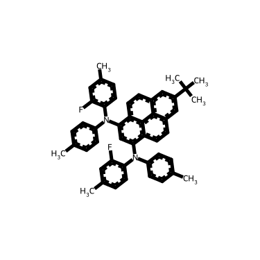 Cc1ccc(N(c2ccc(C)cc2F)c2cc(N(c3ccc(C)cc3)c3ccc(C)cc3F)c3ccc4cc(C(C)(C)C)cc5ccc2c3c54)cc1